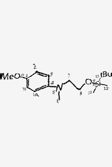 COc1ccc(N(C)CCO[Si](C)(C)C(C)(C)C)cc1